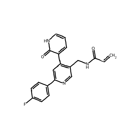 C=CC(=O)NCc1cnc(-c2ccc(F)cc2)cc1-c1ccc[nH]c1=O